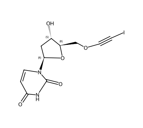 O=c1ccn([C@H]2C[C@H](O)[C@@H](COC#CI)O2)c(=O)[nH]1